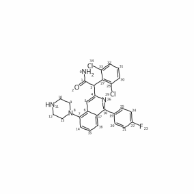 NC(=O)C(c1cc2c(N3CCNCC3)cccc2c(-c2ccc(F)cc2)n1)c1c(Cl)cccc1Cl